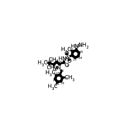 Cc1cc(C)c(Cn2nc(C(C)(C)C)cc2C(=O)NS(=O)(=O)c2cccc(NN)c2C)c(C)c1